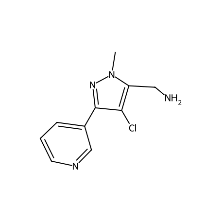 Cn1nc(-c2cccnc2)c(Cl)c1CN